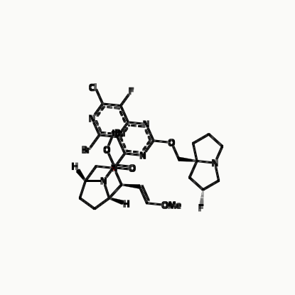 COC=C[C@H]1[C@@H]2CC[C@H](CN1c1nc(OC[C@@]34CCCN3C[C@H](F)C4)nc3c(F)c(Cl)nc(Br)c13)N2C(=O)OC(C)(C)C